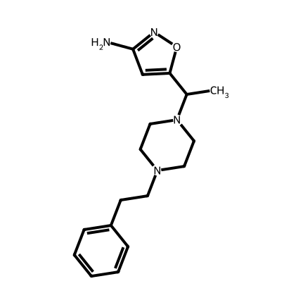 CC(c1cc(N)no1)N1CCN(CCc2ccccc2)CC1